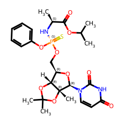 CC(C)OC(=O)[C@H](C)N[P@](=S)(OC[C@H]1O[C@@H](n2ccc(=O)[nH]c2=O)[C@]2(C)OC(C)(C)O[C@H]12)Oc1ccccc1